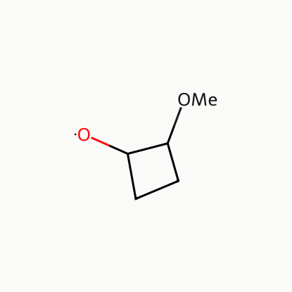 COC1CCC1[O]